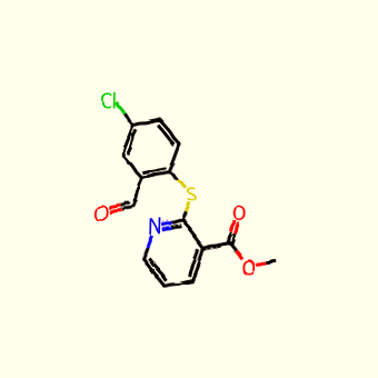 COC(=O)c1cccnc1Sc1ccc(Cl)cc1C=O